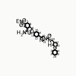 CCS(=O)(=O)c1ccc(COc2ccc(-c3cn(C(=O)NCC4CCN(c5ccccc5)C4)cn3)cc2)c(C(N)=O)c1